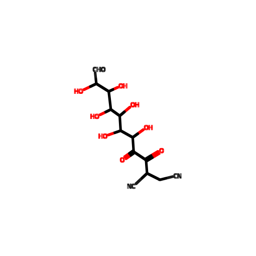 N#CCC(C#N)C(=O)C(=O)C(O)C(O)C(O)C(O)C(O)C(O)C=O